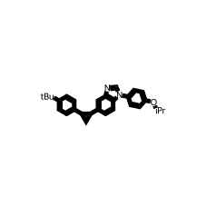 CC(C)Oc1ccc(-n2cnc3cc(C4CC4c4ccc(C(C)(C)C)cc4)ccc32)cc1